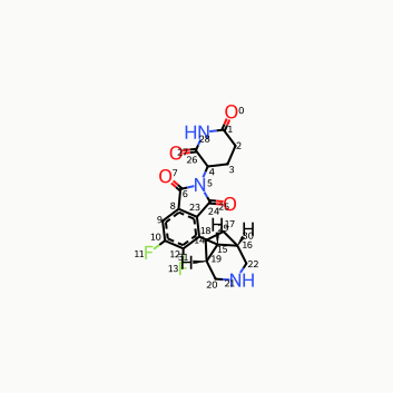 O=C1CCC(N2C(=O)c3cc(F)c(F)c([C@@H]4[C@@H]5CC[C@H]4CNC5)c3C2=O)C(=O)N1